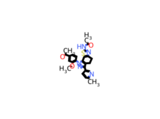 COc1cc(C(C)=O)ccc1-n1nc(-c2ccc(C)nc2)c2c1-c1sc(NC(C)=O)nc1CC2